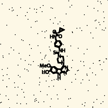 COc1cc2c(cc1O)[nH]c1ncnc(N3CCN(C(=S)Nc4ccc(NS(=O)(=O)C5CC5)cc4)CC3)c12